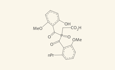 CCCc1cccc(OC)c1C(=O)P(=O)(CC(=O)O)C(=O)c1c(O)cccc1OC